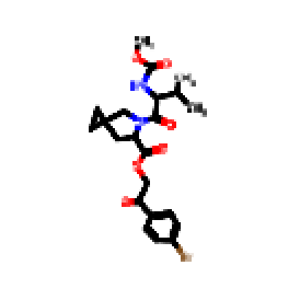 COC(=O)NC(C(=O)N1CC2(CC2)CC1C(=O)OCC(=O)c1ccc(Br)cc1)C(C)C